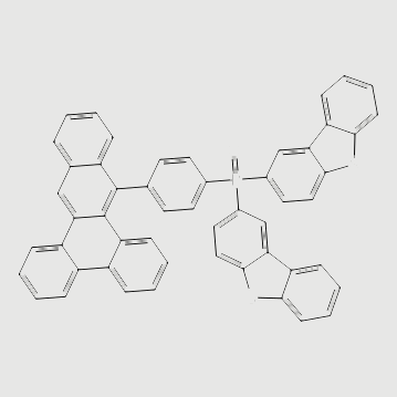 O=P(c1ccc(-c2c3ccccc3cc3c4ccccc4c4ccccc4c23)cc1)(c1ccc2sc3ccccc3c2c1)c1ccc2sc3ccccc3c2c1